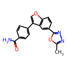 Cc1nnc(-c2ccc3occ(-c4ccc(C(N)=O)cc4)c3c2)o1